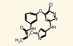 C=CC(=O)Nc1cccc(Oc2nc(Nc3cnn(C)c3)nnc2Cl)c1